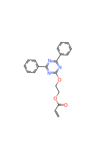 C=CC(=O)OCCOc1nc(-c2ccccc2)nc(-c2ccccc2)n1